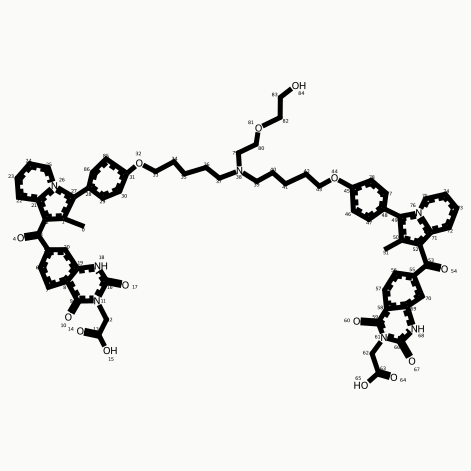 Cc1c(C(=O)c2ccc3c(=O)n(CC(=O)O)c(=O)[nH]c3c2)c2ccccn2c1-c1ccc(OCCCCCN(CCCCCOc2ccc(-c3c(C)c(C(=O)c4ccc5c(=O)n(CC(=O)O)c(=O)[nH]c5c4)c4ccccn34)cc2)CCOCCO)cc1